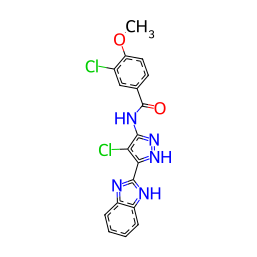 COc1ccc(C(=O)Nc2n[nH]c(-c3nc4ccccc4[nH]3)c2Cl)cc1Cl